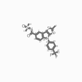 Cc1nc2c(s1)c1cc(C(=O)N=S(C)(C)=O)ccc1n2-c1ccc(C(F)(F)F)cc1